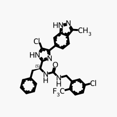 Cc1n[nH]c2cc(-c3nc([C@H](Cc4ccccc4)NC(=O)NCc4cc(Cl)ccc4C(F)(F)F)[nH]c3Cl)ccc12